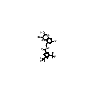 O=C(NCc1cc(Br)cc2c1NC(O)C(O)N2)c1cc(C(F)(F)F)cc(C(F)(F)F)c1